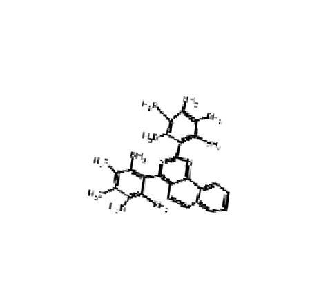 Bc1c(B)c(B)c(-c2nc(-c3c(B)c(B)c(B)c(B)c3B)c3ccc4ccccc4c3n2)c(B)c1B